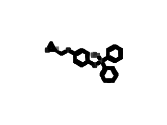 CC(C)(C)[Si](Oc1[c]cc(OC[C@@H]2CO2)cc1)(c1ccccc1)c1ccccc1